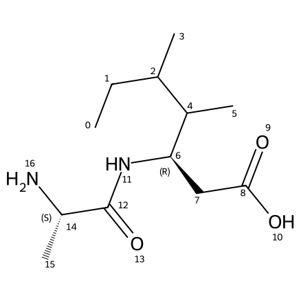 CCC(C)C(C)[C@@H](CC(=O)O)NC(=O)[C@H](C)N